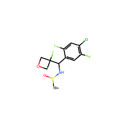 CC(C)(C)[S+]([O-])NC(c1cc(F)c(Cl)cc1F)C1(F)COC1